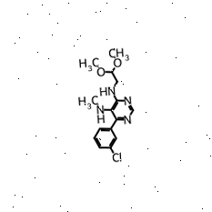 CNc1c(NCC(OC)OC)ncnc1-c1cccc(Cl)c1